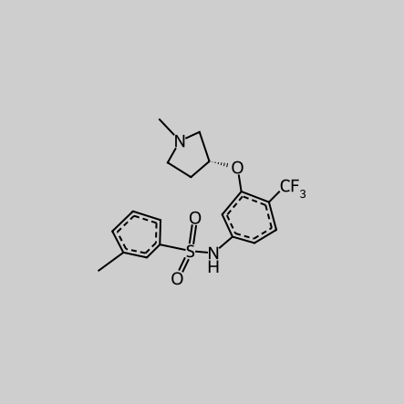 Cc1cccc(S(=O)(=O)Nc2ccc(C(F)(F)F)c(O[C@@H]3CCN(C)C3)c2)c1